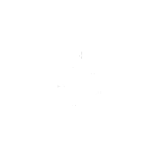 CC1(C)COCN1.O=C(O)CO